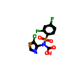 O=C(O)N(c1ncsc1Cl)S(=O)(=O)c1ccc(F)cc1F